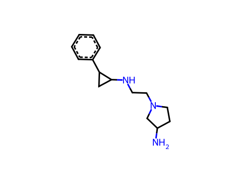 NC1CCN(CCNC2CC2c2ccccc2)C1